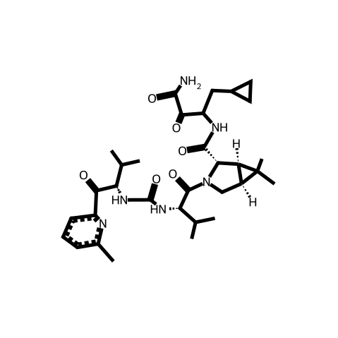 Cc1cccc(C(=O)[C@@H](NC(=O)N[C@H](C(=O)N2C[C@H]3[C@@H]([C@H]2C(=O)NC(CC2CC2)C(=O)C(N)=O)C3(C)C)C(C)C)C(C)C)n1